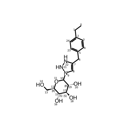 CCc1ccc(CC2=CN(C3O[C@H](CO)[C@@H](O)[C@H](O)[C@H]3O)NN2)cc1